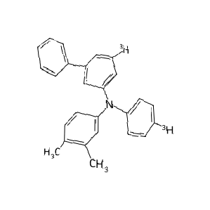 [3H]c1ccc(N(c2cc([3H])cc(-c3ccccc3)c2)c2ccc(C)c(C)c2)cc1